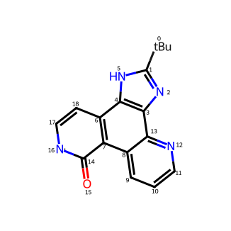 CC(C)(C)c1nc2c([nH]1)c1c(c3cccnc32)C(=O)[N]C=C1